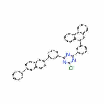 Clc1nc(-c2cccc(-c3ccc4cc(-c5ccccc5)ccc4c3)c2)nc(-c2cccc(-c3cc4ccccc4c4ccccc34)c2)n1